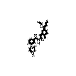 C=C/C=C(\OC=C)c1ccc2cnc(NC(=O)c3cccc(N4CCN(C)CC4)c3)cc2c1